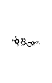 NC1CC(N2CCn3nc(C(F)(F)F)nc3C2)CO[C@@H]1c1cc(F)c(F)cc1F